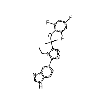 CCn1c(-c2ccc3[nH]cnc3c2)nnc1C(C)(C)Oc1c(F)cc(F)cc1F